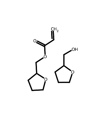 C=CC(=O)OCC1CCCO1.OCC1CCCO1